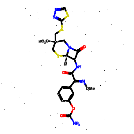 CON=C(C(=O)NC1C(=O)N2CC(CSc3nncs3)(C(=O)O)CS[C@H]12)c1cccc(OC(N)=O)c1